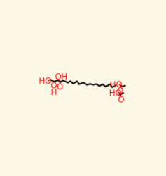 CC(=O)O.CC(=O)O.CCCCCCCCCCCCCCCCCC(=O)C(O)C(O)CO